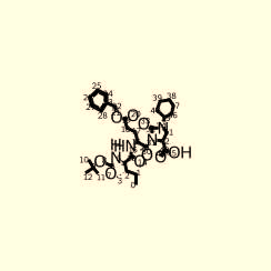 CC[C@H](C)[C@H](NC(=O)OC(C)(C)C)C(=O)NC(CCC(=O)OCc1ccccc1)C(=O)N1C(=O)N(C2CCCCC2)CC1C(=O)O